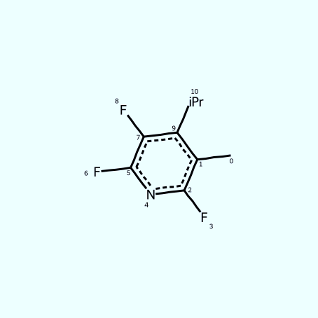 Cc1c(F)nc(F)c(F)c1C(C)C